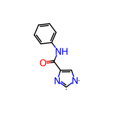 O=C(Nc1ccccc1)C1=C[N][C]=N1